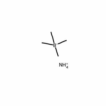 C[B-](C)(C)C.[NH4+]